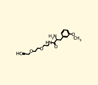 C#CCOCCOCCNC(=O)[C@@H](N)Cc1cccc(OC)c1